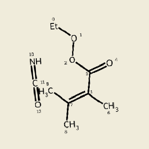 CCOOC(=O)C(C)=C(C)C.N=C=O